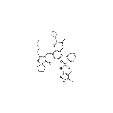 CCCCC1=NC2(CCCC2)C(=O)N1Cc1ccc(-c2ccccc2S(=O)(=O)Nc2noc(C)c2C)c(CN(C)C(=O)C2CCC2)c1